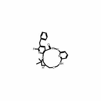 CC1(C)C[C@@H]2CCCNc3cccc(n3)SNC(=O)c3cc(Cc4ccccc4)c(F)nc3N1C2